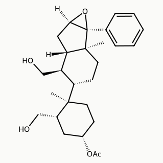 CC(=O)O[C@H]1CC[C@](C)([C@H]2CC[C@@]3(C)[C@@H](C[C@H]4O[C@]43c3ccccc3)[C@@H]2CO)[C@@H](CO)C1